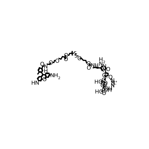 Cc1ccc(C(=O)NCCOCCOCCCC(=O)OCCC(C)(C)SSCOCCCCOC(=O)NCC#Cc2cn([C@H]3CC(OCN=[N+]=[N-])[C@@H](COP(=O)(O)OP(=O)(O)CP(=O)(O)O)O3)c(=O)nc2N)cc1-c1c2ccc(=N)cc-2oc2cc(N)ccc12